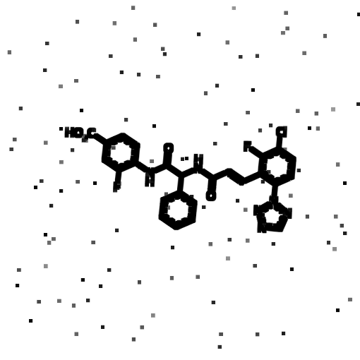 O=C(C=Cc1c(-n2ncnn2)ccc(Cl)c1F)NC(C(=O)Nc1ccc(C(=O)O)cc1F)c1ccccc1